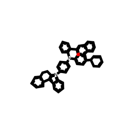 C1=CCC(c2ccc(N(c3ccc(-n4c5c(c6ccccc64)-c4ccccc4CC5)cc3)c3ccccc3-c3ccc4ccccc4c3)cc2)C=C1